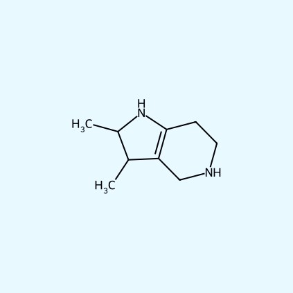 CC1NC2=C(CNCC2)C1C